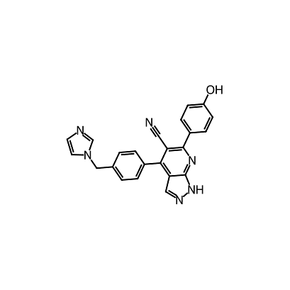 N#Cc1c(-c2ccc(O)cc2)nc2[nH]ncc2c1-c1ccc(Cn2ccnc2)cc1